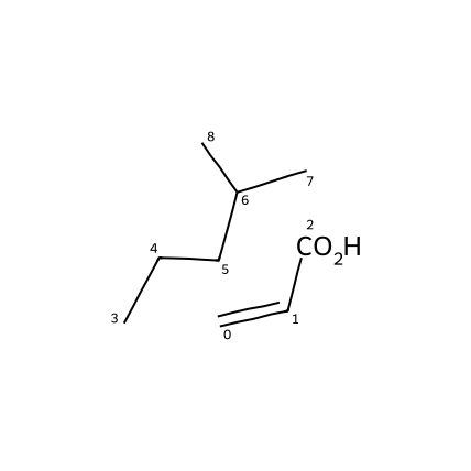 C=CC(=O)O.CCCC(C)C